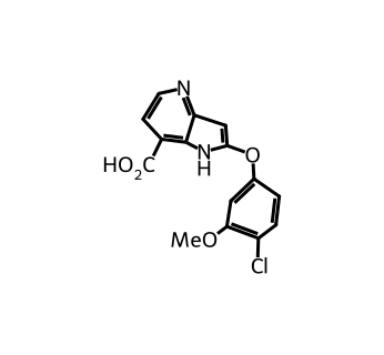 COc1cc(Oc2cc3nccc(C(=O)O)c3[nH]2)ccc1Cl